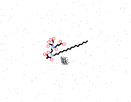 C=C(C(=O)[O-])C(=O)N(CCCCCCCCCCCCCCCCCC)CCCN(C(=O)C=CC(=O)[O-])[C@@H](CC(=O)[O-])C(=O)[O-].[Na+].[Na+].[Na+].[Na+]